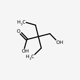 CCC(CC)(CO)C(=O)O